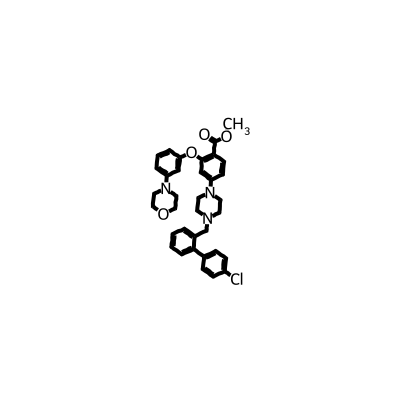 COC(=O)c1ccc(N2CCN(Cc3ccccc3-c3ccc(Cl)cc3)CC2)cc1Oc1cccc(N2CCOCC2)c1